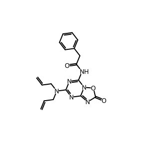 C=CCN(CC=C)c1nc(NC(=O)Cc2ccccc2)n2oc(=O)nc2n1